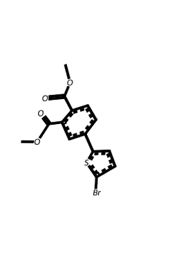 COC(=O)c1ccc(-c2ccc(Br)s2)cc1C(=O)OC